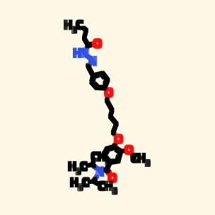 CCCC(=O)NN=Cc1ccc(OCCCCCOc2ccc(C(=O)N(C(C)C)C(C)C)cc2OC)cc1